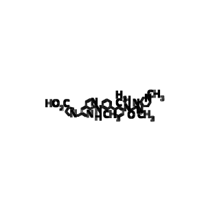 Cc1c(NC(=O)c2nc3c(n2C)CCN(C)C3)cccc1-c1cccc(Nc2nccc3cc(CN4CCC(C(=O)O)C4)cnc23)c1C